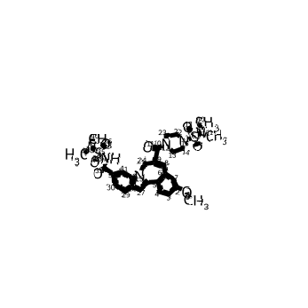 COc1ccc2c(c1)C=C(C(=O)N1CCN(S(=O)(=O)N(C)C)CC1)Cn1c-2cc2ccc(C(=O)NS(=O)(=O)N(C)C)cc21